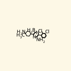 Bc1nc(-c2cccc(Cl)c2Cl)c(N)nc1C1CCC(C)(N)CC1